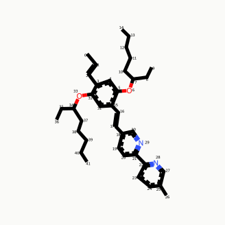 C/C=C/c1cc(OC(CC)CCCCC)c(/C=C/c2ccc(-c3ccc(C)cn3)nc2)cc1OC(CC)CCCCC